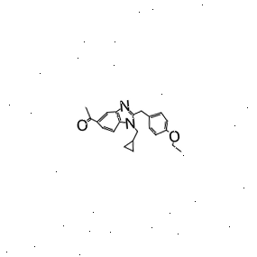 CCOc1ccc(Cc2nc3cc(C(C)=O)ccc3n2CC2CC2)cc1